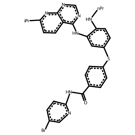 CCCNc1ccc(Sc2ccc(C(=O)Nc3ccc(Br)cn3)cc2)cc1Nc1ncnc2nc(C(C)C)ccc12